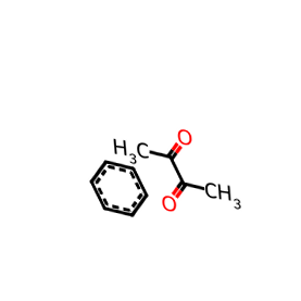 CC(=O)C(C)=O.c1ccccc1